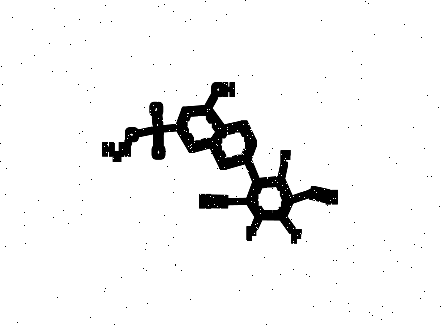 N#Cc1c(F)c(F)c(C#N)c(-c2ccc3c(O)cc(S(=O)(=O)ON)cc3c2)c1F